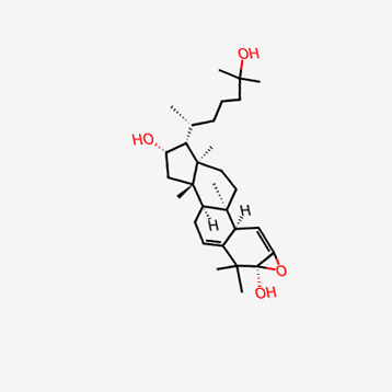 C[C@H](CCCC(C)(C)O)[C@H]1[C@@H](O)C[C@@]2(C)[C@@H]3CC=C4[C@H](C=C5O[C@@]5(O)C4(C)C)[C@]3(C)CC[C@]12C